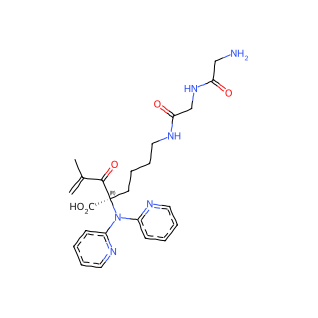 C=C(C)C(=O)[C@](CCCCNC(=O)CNC(=O)CN)(C(=O)O)N(c1ccccn1)c1ccccn1